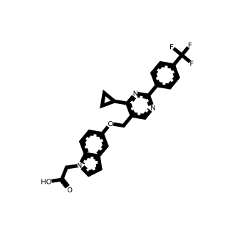 O=C(O)Cn1ccc2cc(OCc3cnc(-c4ccc(C(F)(F)F)cc4)nc3C3CC3)ccc21